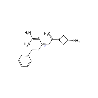 C=C(/C=C(/CCc1ccccc1)N=C(N)N)N1CC(N)C1